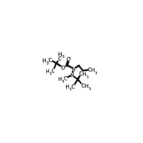 CCCN(C(=O)OC(C)(C)C)N(C)C(C)(C)C